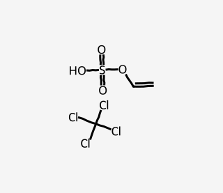 C=COS(=O)(=O)O.ClC(Cl)(Cl)Cl